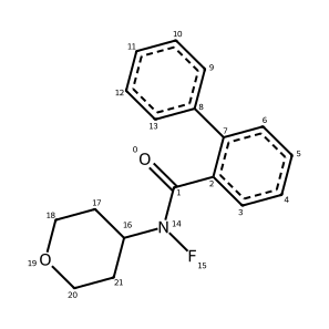 O=C(c1ccccc1-c1ccccc1)N(F)C1CCOCC1